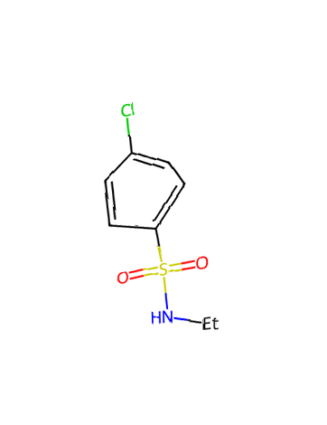 CCNS(=O)(=O)c1ccc(Cl)cc1